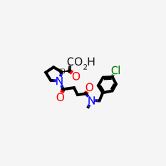 CN(Cc1ccc(Cl)cc1)C(=O)CCC(=O)N1CCC[C@H]1C(=O)C(=O)O